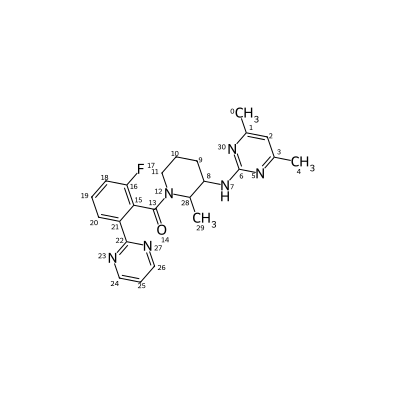 Cc1cc(C)nc(NC2CCCN(C(=O)c3c(F)cccc3-c3ncccn3)C2C)n1